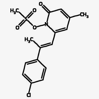 CC(=Cc1cc(C)cc(=O)n1OS(C)(=O)=O)c1ccc(Cl)cc1